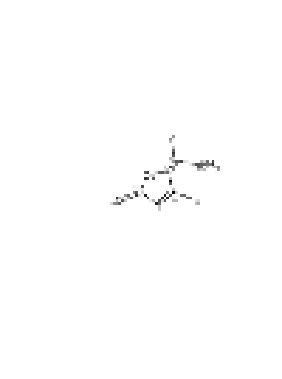 B/C(C)=C1/OC(=O)C=C1C